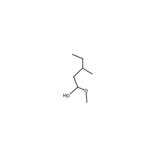 CCC(C)CC(O)OC